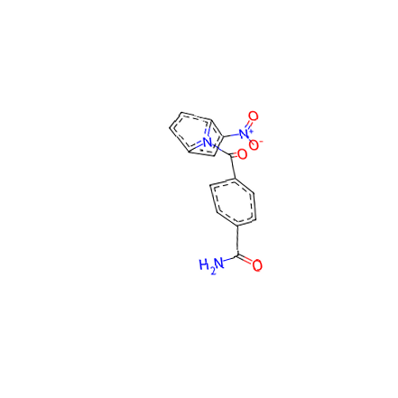 NC(=O)c1ccc(C(=O)n2c3ccc2c([N+](=O)[O-])c3)cc1